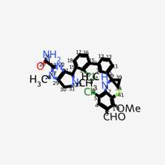 COc1c(C=O)cc(Cl)c(NC2(c3cccc(-c4cccc(C5c6nc(C(N)=O)n(C)c6CCN5C)c4Cl)c3C)CC2)c1F